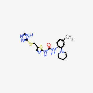 Cc1ccc(NC(=O)Nc2ncc(CSc3nnc[nH]3)s2)c(N2CCCCC2)c1